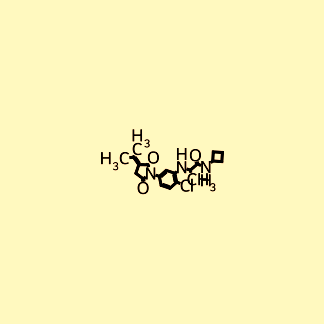 CC(C)=C1CC(=O)N(c2ccc(Cl)c(NC(C)C(=O)NC3CCC3)c2)C1=O